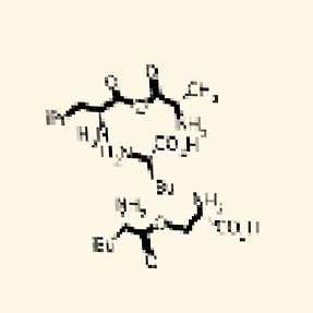 CC(C)C[C@H](N)C(=O)OC(=O)[C@H](C)N.CC[C@H](C)[C@H](N)C(=O)O.CC[C@H](C)[C@H](N)C(=O)OC[C@H](N)C(=O)O